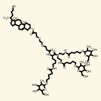 CC(C)CCC[C@@H](C)C1CCC2C3CC=C4C[C@@H](OC(=O)CCOCCOCCC(=O)NC(CCCCNC(=O)CCCCOC5OC(CO)C(O)C(O)C5C)C(=O)N(CCNC(=O)CCCCOC5OC(CO)C(O)C(O)C5C)CCNC(=O)CCCCOC5OC(CO)C(O)C(O)C5C)CC[C@]4(C)C3CC[C@@]21C